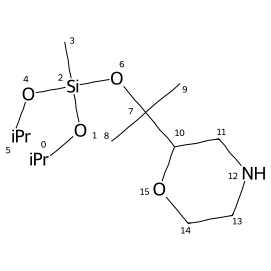 CC(C)O[Si](C)(OC(C)C)OC(C)(C)C1CNCCO1